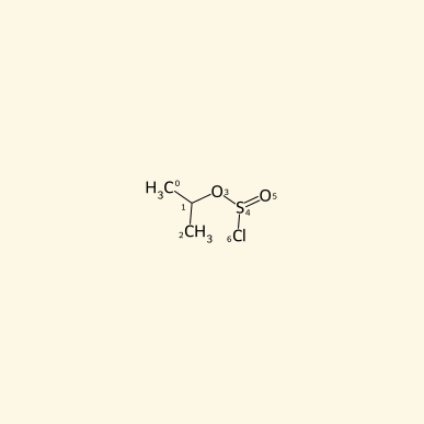 CC(C)OS(=O)Cl